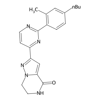 CCCCc1ccc(-c2nccc(-c3cc4n(n3)CCNC4=O)n2)c(C)c1